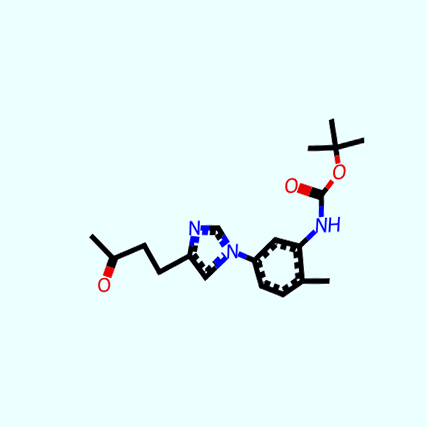 CC(=O)CCc1cn(-c2ccc(C)c(NC(=O)OC(C)(C)C)c2)cn1